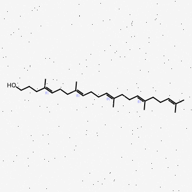 CC(C)=CCC/C(C)=C/CC/C(C)=C/CC/C=C(\C)CC/C=C(\C)CCCO